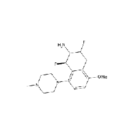 COc1ccc(N2CCN(C)CC2)c2c1CC(F)C(N)[C@@H]2F